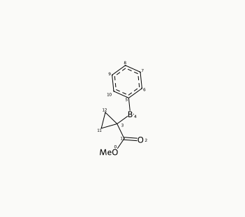 COC(=O)C1([B]c2ccccc2)CC1